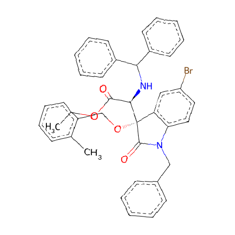 CCOC(=O)[C@@H](NC(c1ccccc1)c1ccccc1)[C@]1(OCc2ccccc2C)C(=O)N(Cc2ccccc2)c2ccc(Br)cc21